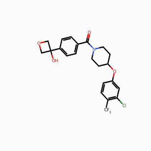 O=C(c1ccc(C2(O)COC2)cc1)N1CCC(Oc2ccc(C(F)(F)F)c(Cl)c2)CC1